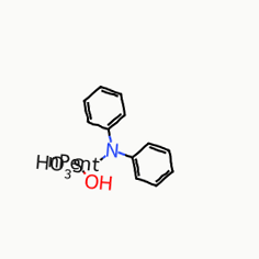 CCCCCN(c1ccccc1)c1ccccc1.O=S(=O)(O)O